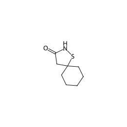 O=C1CC2(CCCCC2)SN1